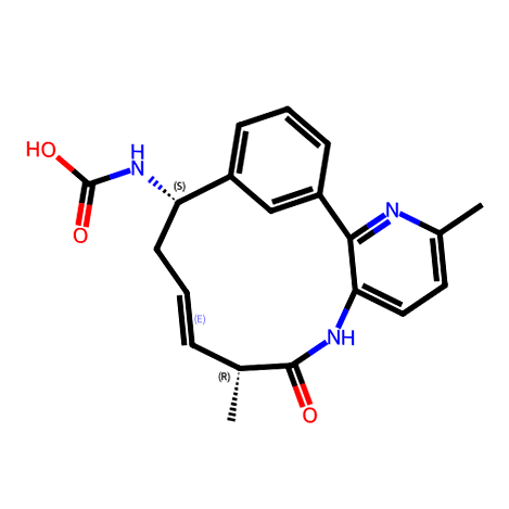 Cc1ccc2c(n1)-c1cccc(c1)[C@@H](NC(=O)O)C/C=C/[C@@H](C)C(=O)N2